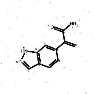 C=C(C(N)=O)c1ccc2cn[nH]c2c1